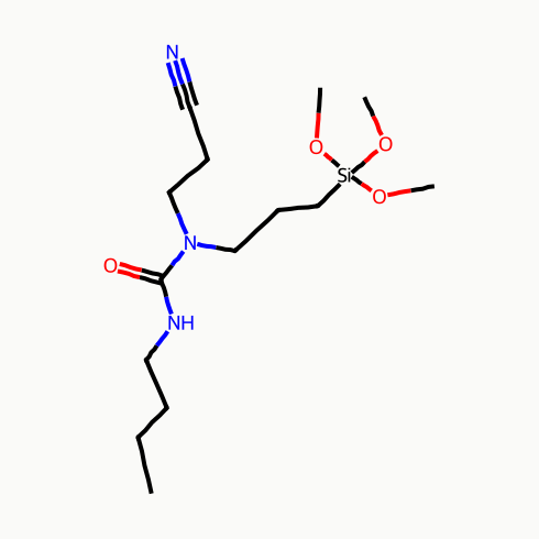 CCCCNC(=O)N(CCC#N)CCC[Si](OC)(OC)OC